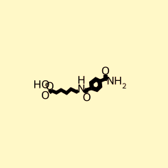 NC(=O)c1ccc(C(=O)NCCCCCC(=O)OO)cc1